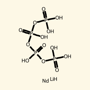 O=P(O)(O)OP(=O)(O)OP(=O)(O)OP(=O)(O)O.[LiH].[Nd]